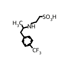 CC(Cc1ccc(C(F)(F)F)cc1)NCCCS(=O)(=O)O